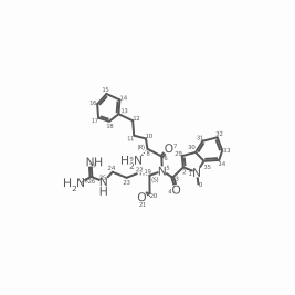 Cn1c(C(=O)N(C(=O)[C@H](N)CCCc2ccccc2)[C@H]([C]=O)CCCNC(=N)N)cc2ccccc21